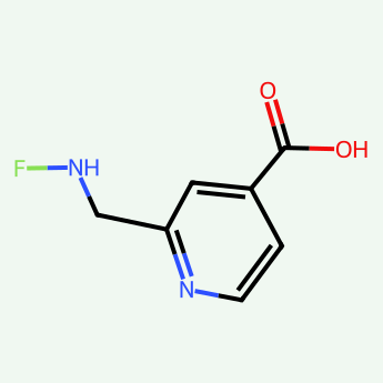 O=C(O)c1ccnc(CNF)c1